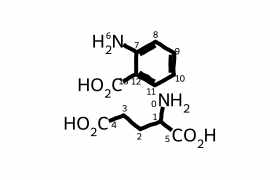 NC(CCC(=O)O)C(=O)O.Nc1ccccc1C(=O)O